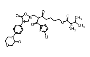 CC(C)[C@H](N)C(=O)OCCCCC(=O)N(C[C@H]1CN(c2ccc(N3CCOCC3=O)cc2)C(=O)O1)C(=O)c1ccc(Cl)s1